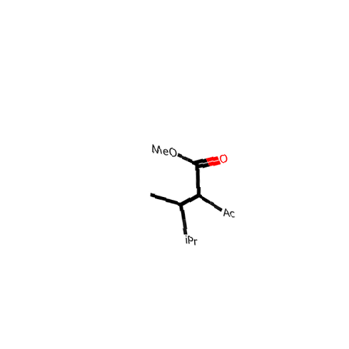 COC(=O)C(C(C)=O)C(C)C(C)C